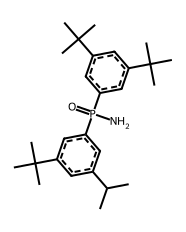 CC(C)c1cc(C(C)(C)C)cc(P(N)(=O)c2cc(C(C)(C)C)cc(C(C)(C)C)c2)c1